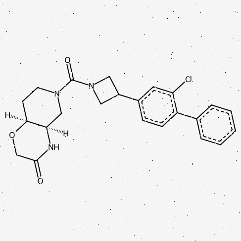 O=C1CO[C@H]2CCN(C(=O)N3CC(c4ccc(-c5ccccc5)c(Cl)c4)C3)C[C@H]2N1